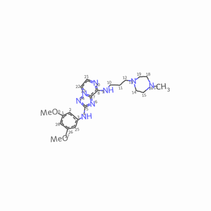 COc1cc(Nc2nc3c(NCCCN4CCN(C)CC4)nccn3n2)cc(OC)c1